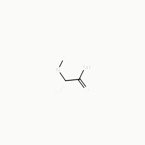 CC[C@H](NC(C)=O)C(N)=O